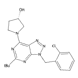 CC(C)(C)c1nc(N2CC[C@H](O)C2)c2nnn(Cc3ccccc3Cl)c2n1